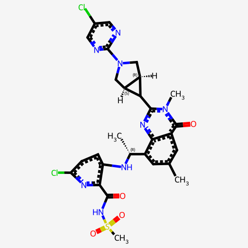 Cc1cc([C@@H](C)Nc2ccc(Cl)nc2C(=O)NS(C)(=O)=O)c2nc(C3[C@H]4CN(c5ncc(Cl)cn5)C[C@@H]34)n(C)c(=O)c2c1